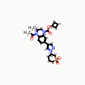 CC(=O)N1c2ccc(-c3cnn([C@@H]4CCCS(=O)(=O)C4)c3)cc2N(C(=O)OC2CCC2)C[C@@H]1C